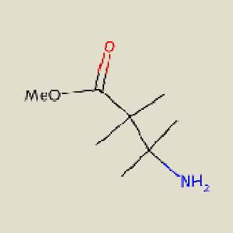 COC(=O)C(C)(C)C(C)(C)N